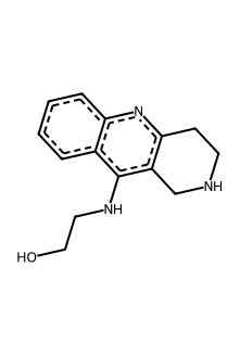 OCCNc1c2c(nc3ccccc13)CCNC2